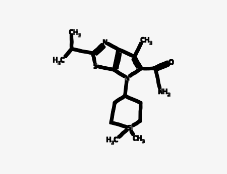 Cc1c(C(N)=O)n(C2CC[Si](C)(C)CC2)c2sc(C(C)C)nc12